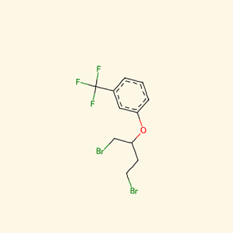 FC(F)(F)c1cccc(OC(CBr)CCBr)c1